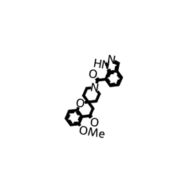 COc1cccc2c1C(=O)CC1(CCN(C(=O)c3cccc4cn[nH]c34)CC1)O2